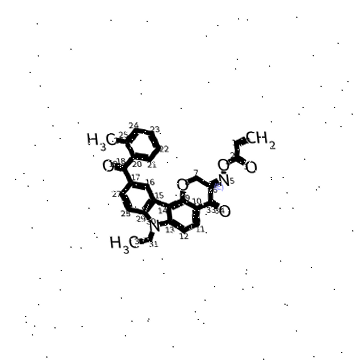 C=CC(=O)O/N=C1\COc2c(ccc3c2c2cc(C(=O)c4ccccc4C)ccc2n3CC)C1=O